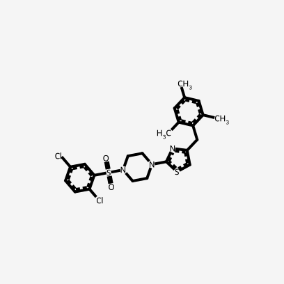 Cc1cc(C)c(Cc2csc(N3CCN(S(=O)(=O)c4cc(Cl)ccc4Cl)CC3)n2)c(C)c1